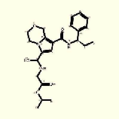 CC[C@@H](NC(=O)c1cc(C(O)NCC(=O)OC(C)C)n2c1COCC2)c1ccccc1